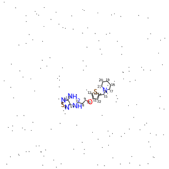 Nc1nsnc1NCCCOc1csc(CN2CCCCC2)c1